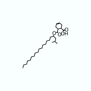 CCCCCCCCCCCCCCCCC(CC(C)C)OC(=O)C1CC=CCC1C(=O)O